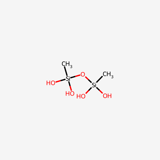 C[Si](O)(O)O[Si](C)(O)O